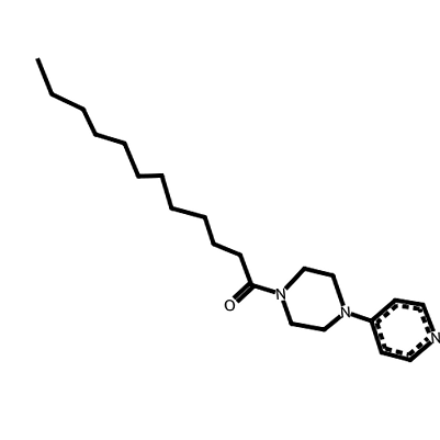 CCCCCCCCCCCC(=O)N1CCN(c2ccncc2)CC1